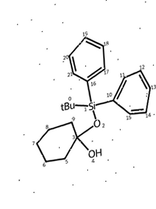 CC(C)(C)[Si](OC1(O)CCCCC1)(c1ccccc1)c1ccccc1